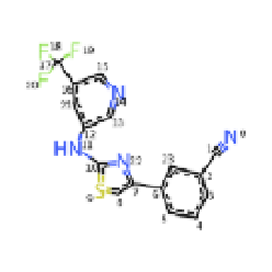 N#Cc1cccc(-c2csc(Nc3cncc(C(F)(F)F)c3)n2)c1